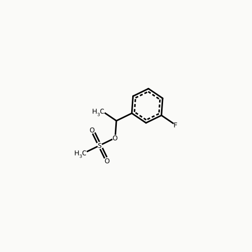 CC(OS(C)(=O)=O)c1cccc(F)c1